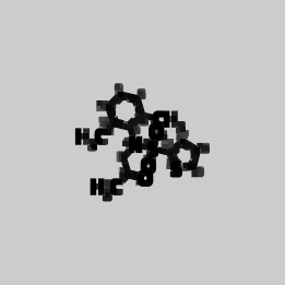 CC(=O)CN(c1c(C)cccc1C)S(=O)(=O)c1cccs1